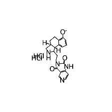 COc1cccc2c1CC[C@H]1CNC(CCn3c(=O)[nH]c4ccncc4c3=O)[C@@H]21.Cl.Cl